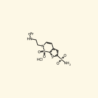 CCCNCCN1C=Cc2cc(S(N)(=O)=O)sc2S1(=O)=O.Cl